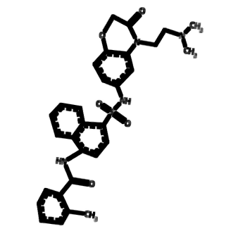 Cc1ccccc1C(=O)Nc1ccc(S(=O)(=O)Nc2ccc3c(c2)N(CCN(C)C)C(=O)CO3)c2ccccc12